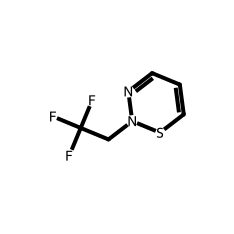 FC(F)(F)CN1N=CC=CS1